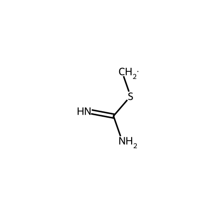 [CH2]SC(=N)N